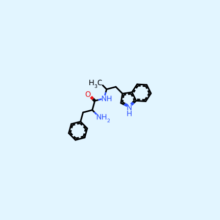 CC(Cc1c[nH]c2ccccc12)NC(=O)C(N)Cc1ccccc1